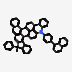 CC1(c2ccccc2)c2ccccc2-c2c(-c3ccc(N(c4ccc(-c5cccc6ccccc56)cc4)c4ccccc4-c4ccc(-c5cccc6ccccc56)cc4)cc3)cccc21